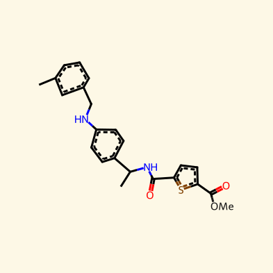 COC(=O)c1ccc(C(=O)NC(C)c2ccc(NCc3cccc(C)c3)cc2)s1